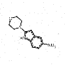 O=[N+]([O-])c1ccc2[nH]c(N3CCOCC3)cc2c1